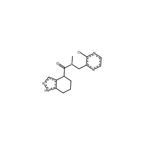 CN(Cc1nccnc1Cl)C(=O)C1CCCc2[nH]ncc21